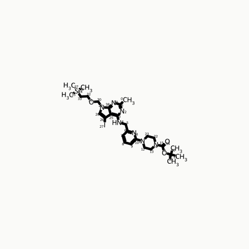 Cc1nc(NCc2cccc(N3CCN(C(=O)OC(C)(C)C)CC3)n2)c2c(I)cn(COCC[Si](C)(C)C)c2n1